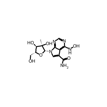 C[C@@]1(O)[C@H](O)[C@@H](CO)O[C@H]1n1cc(C(N)=O)c2c(NO)ncnc21